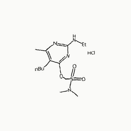 CCCCc1c(C)nc(NCC)nc1OS(=O)(=O)N(C)C.Cl